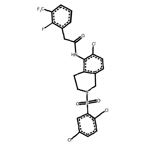 O=C(Cc1cccc(C(F)(F)F)c1F)Nc1c(Cl)ccc2c1CCN(S(=O)(=O)c1cc(Cl)ccc1Cl)C2